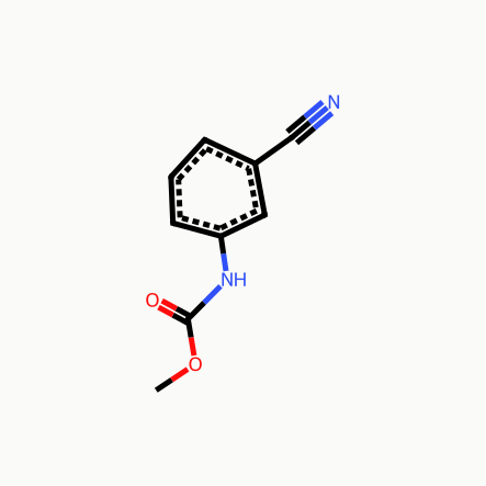 COC(=O)Nc1cccc(C#N)c1